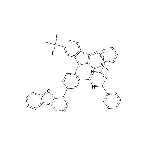 Cc1ccc2c3ccc(C(F)(F)F)cc3n(-c3ccc(-c4cccc5c4oc4ccccc45)cc3-c3nc(-c4ccccc4)nc(-c4ccccc4)n3)c2c1